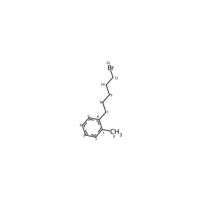 Cc1ccccc1CCCCCBr